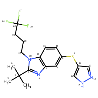 CC(C)(C)c1nc2cc(Sc3cn[nH]c3)ccc2n1CCCC(F)(F)F